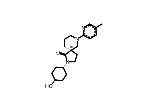 Cc1ccc(N2CCC[C@@]3(CCN([C@H]4CC[C@H](O)CC4)C3=O)C2)nc1